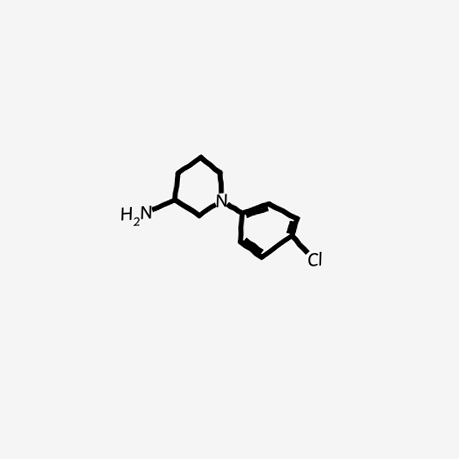 NC1CCCN(c2ccc(Cl)cc2)C1